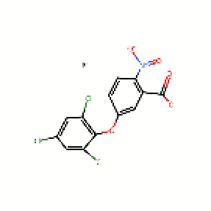 O=C([O-])c1cc(Oc2c(Cl)cc(Cl)cc2Cl)ccc1[N+](=O)[O-].[K+]